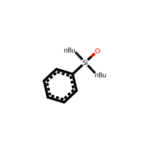 CCCC[Si]([O])(CCCC)c1ccccc1